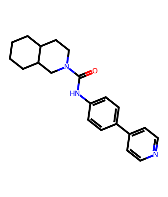 O=C(Nc1ccc(-c2ccncc2)cc1)N1CCC2CCCCC2C1